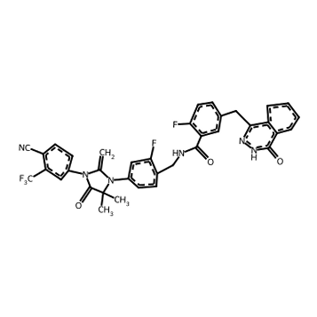 C=C1N(c2ccc(C#N)c(C(F)(F)F)c2)C(=O)C(C)(C)N1c1ccc(CNC(=O)c2cc(Cc3n[nH]c(=O)c4ccccc34)ccc2F)c(F)c1